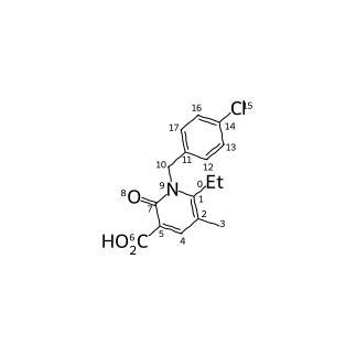 CCc1c(C)cc(C(=O)O)c(=O)n1Cc1ccc(Cl)cc1